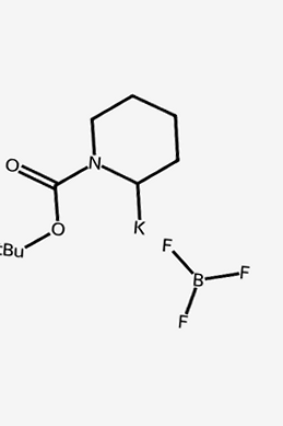 CC(C)(C)OC(=O)N1CCCC[CH]1[K].FB(F)F